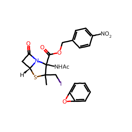 CC(=O)NC1(C(=O)OCc2ccc([N+](=O)[O-])cc2)N2C(=O)C[C@H]2SC1(C)CI.c1ccc2c(c1)O2